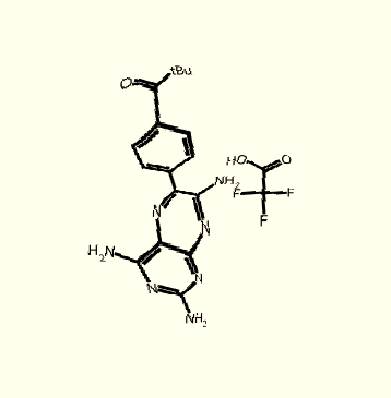 CC(C)(C)C(=O)c1ccc(-c2nc3c(N)nc(N)nc3nc2N)cc1.O=C(O)C(F)(F)F